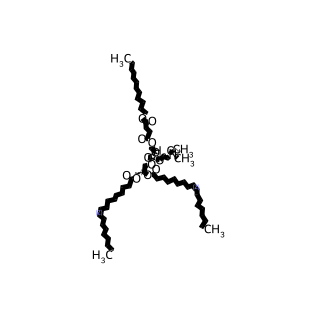 CCCCCCCC/C=C\CCCCCCCC(=O)OC[C@H](COP(=O)(OCC[N+](C)(C)C)OCOC(=O)CCC(=O)OCCCCCCCCCCCC)OC(=O)CCCCCCC/C=C\CCCCCCCC